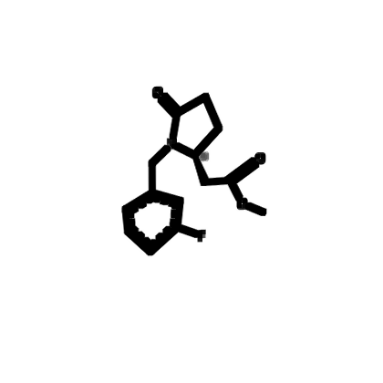 COC(=O)C[C@@H]1CCC(=O)N1Cc1cccc(F)c1